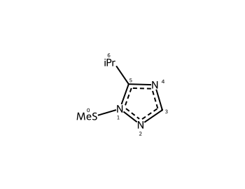 CSn1ncnc1C(C)C